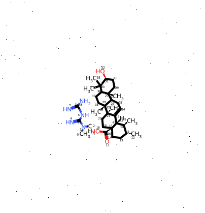 CN(C)C(=N)NC(=N)N.C[C@H]1[C@H](C)CC[C@]2(C(=O)O)CC[C@]3(C)C(=CCC4[C@@]5(C)CC[C@H](O)C(C)(C)C5CC[C@]43C)[C@H]12